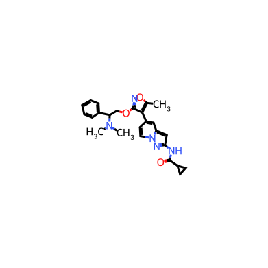 Cc1onc(OCC(c2ccccc2)N(C)C)c1-c1ccn2nc(NC(=O)C3CC3)cc2c1